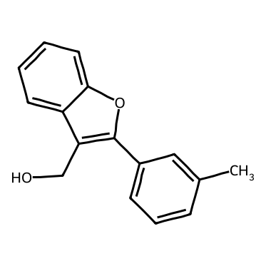 Cc1cccc(-c2oc3ccccc3c2CO)c1